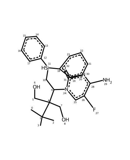 CC(C)(C)C(CO)(CO)C(C[SiH](c1ccccc1)c1ccccc1)n1cc(F)c(N)nc1=O